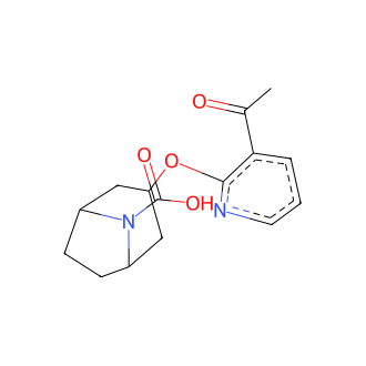 CC(=O)c1cccnc1OC1CC2CCC(C1)N2C(=O)O